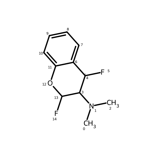 CN(C)C1[C](F)c2ccccc2OC1F